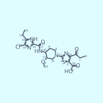 CCC(=O)c1nc(N2CCC(NC(=O)c3nc(Cl)c(CC)[nH]3)C(OC)C2)sc1C(=O)O